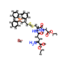 CCOC(=O)CNC(=O)[C@H](CSSCCC[P+](c1ccccc1)(c1ccccc1)c1ccccc1)NC(=O)CC[C@H](N)C(=O)OCC.[Br-]